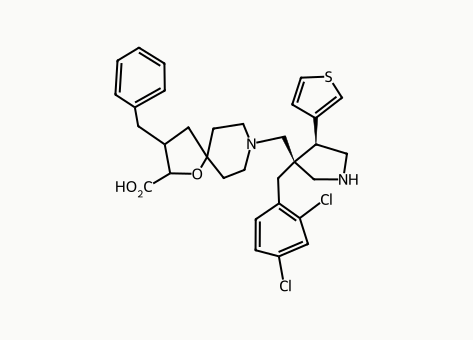 O=C(O)C1OC2(CCN(C[C@]3(Cc4ccc(Cl)cc4Cl)CNC[C@@H]3c3ccsc3)CC2)CC1Cc1ccccc1